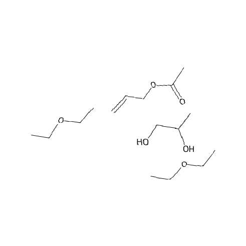 C=CCOC(C)=O.CC(O)CO.CCOCC.CCOCC